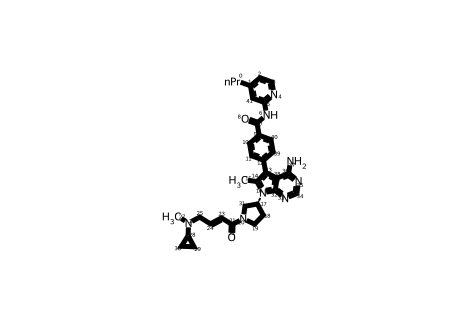 CCCc1ccnc(NC(=O)c2ccc(-c3c(C)n([C@@H]4CCN(C(=O)/C=C/CN(C)C5CC5)C4)c4ncnc(N)c34)cc2)c1